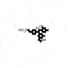 CCC(=C(c1ccc(C=CC(=O)O)cc1)c1cc(F)c2[nH]ccc2c1)c1ccc(F)cc1Cl